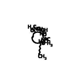 CCCCCCCC1CCCC/C=C/CC(C(=O)N(C)C)C[C@@H](C(=O)O)NC(=O)[C@H](CC(C)C)NC1=O